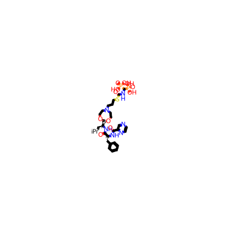 CC(C)C[C@H](NC(=O)[C@@H](Cc1ccccc1)NC(=O)c1cnccn1)B1OCCN(CCCSC(=O)NC(P(=O)(O)O)P(=O)(O)O)CCO1